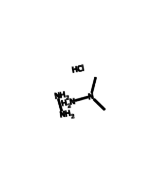 CN(C)N.Cl.NN